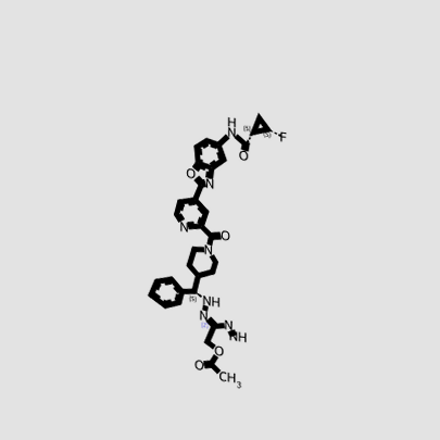 CC(=O)OC/C(N=N)=N/N[C@H](c1ccccc1)C1CCN(C(=O)c2cc(-c3nc4cc(NC(=O)[C@@H]5C[C@@H]5F)ccc4o3)ccn2)CC1